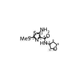 CSc1nc(C(=O)N[C@@H]2CCOC2)c(N)s1